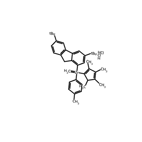 Cl.Cl.[CH2]=[Zr]([C]1=C(C)C(C)=C(C)C1C)([c]1ccc(C)cc1)[c]1cc(C(C)(C)C)cc2c1Cc1ccc(C(C)(C)C)cc1-2